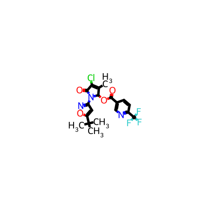 CC1=C(Cl)C(=O)N(c2cc(C(C)(C)C)on2)C1OC(=O)c1ccc(C(F)(F)F)nc1